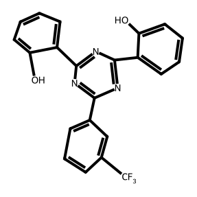 Oc1ccccc1-c1nc(-c2cccc(C(F)(F)F)c2)nc(-c2ccccc2O)n1